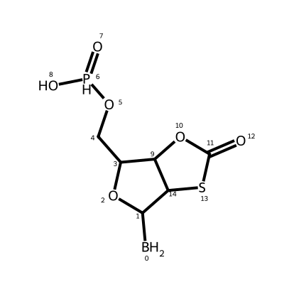 BC1OC(CO[PH](=O)O)C2OC(=O)SC12